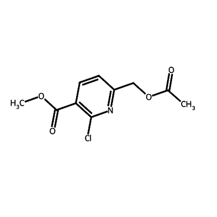 COC(=O)c1ccc(COC(C)=O)nc1Cl